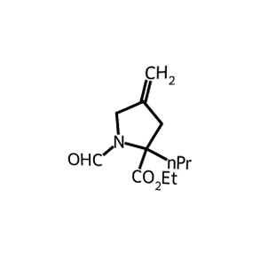 C=C1CN(C=O)C(CCC)(C(=O)OCC)C1